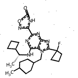 CC1CCC(Cn2c(C3(F)CCC3)nc3nc(-c4noc(=O)[nH]4)nc(N[C@H](C)C4CCC4)c32)CC1